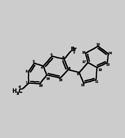 Cc1ccc2cc(Br)c(C3C=Cc4ccccc43)cc2c1